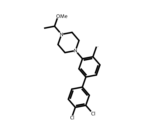 [CH2]c1ccc(-c2ccc(Cl)c(Cl)c2)cc1N1CCN(C(C)OC)CC1